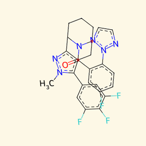 Cn1nc2c(c1-c1cc(F)c(F)c(F)c1)CC1CCCC2N1C(=O)c1cc(F)ccc1-n1nccn1